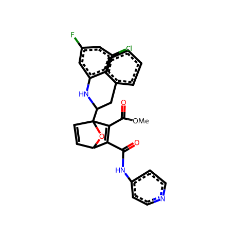 COC(=O)C1=C(C(=O)Nc2ccncc2)C2C=CC1(C(Cc1ccccc1)Nc1cc(F)cc(Cl)c1)O2